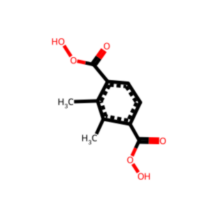 Cc1c(C(=O)OO)ccc(C(=O)OO)c1C